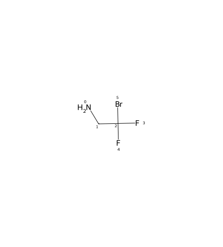 NCC(F)(F)Br